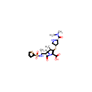 C[C@@H](NS(=O)(=O)c1cccs1)[C@H]1C(=O)N2C(C(=O)O)=C(S[C@@H]3CN[C@H](C(=O)N(C)C)C3)[C@H](C)[C@H]12